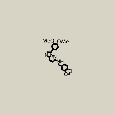 COc1ccc(-c2cnc3ccc(NCc4ccc5c(c4)OCO5)nn23)cc1OC